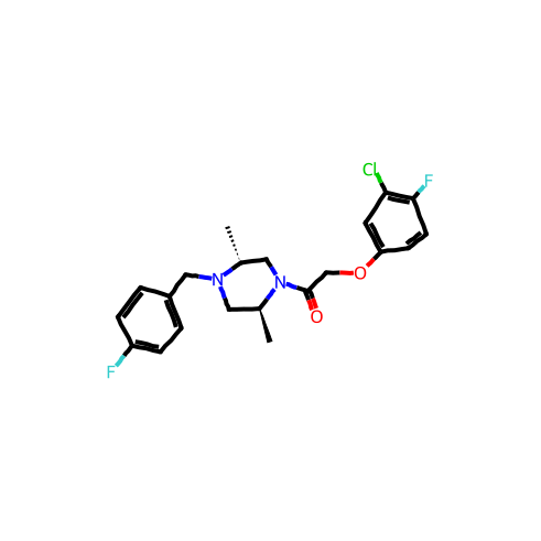 C[C@@H]1CN(C(=O)COc2ccc(F)c(Cl)c2)[C@@H](C)CN1Cc1ccc(F)cc1